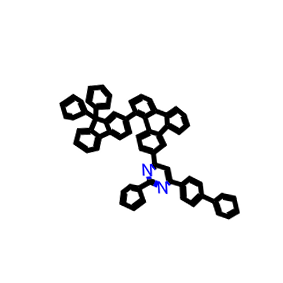 c1ccc(-c2ccc(-c3cc(-c4ccc5c(c4)c4ccccc4c4cccc(-c6ccc7c(c6)C(c6ccccc6)(c6ccccc6)c6ccccc6-7)c45)nc(-c4ccccc4)n3)cc2)cc1